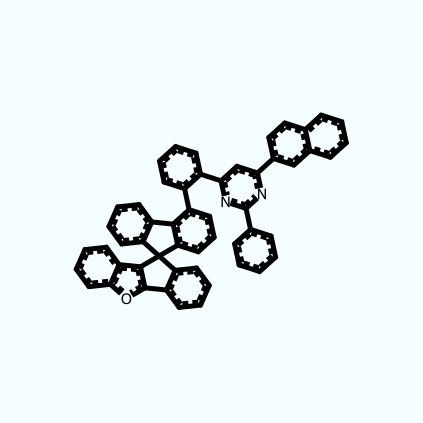 c1ccc(-c2nc(-c3ccc4ccccc4c3)cc(-c3ccccc3-c3cccc4c3-c3ccccc3C43c4ccccc4-c4oc5ccccc5c43)n2)cc1